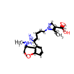 CNC1COc2cccc(/C(N)=C/C=C\Cn3ncc(C(=O)O)c3C)c21